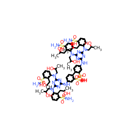 CC(O)Cc1c(N(CC(C)O)c2nc(Nc3ccc(-c4ccc(Nc5nc(N(CC(C)O)c6cccc(S(N)(=O)=O)c6CC(C)O)nc(N(CC(C)O)c6cccc(S(N)(=O)=O)c6CC(C)O)n5)cc4S(=O)(=O)O)c(S(=O)(=O)O)c3)nc(N(CC(C)O)c3cccc(S(N)(=O)=O)c3CC(C)O)n2)cccc1S(N)(=O)=O